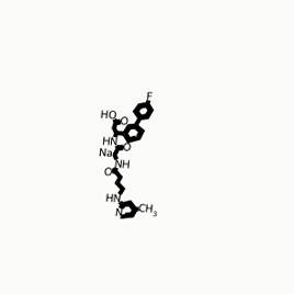 Cc1ccnc(NCCCC(=O)NCC(=O)NC(CC(=O)O)c2cccc(-c3ccc(F)cc3)c2)c1.[Na]